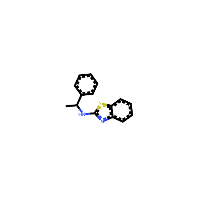 CC(Nc1nc2ccccc2s1)c1ccccc1